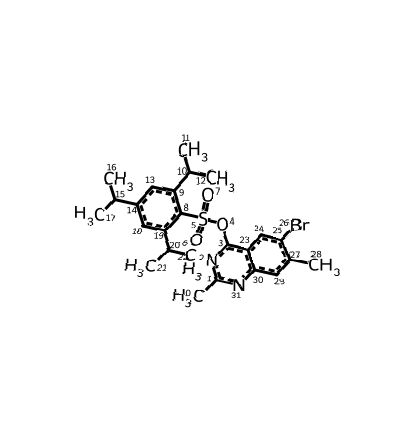 Cc1nc(OS(=O)(=O)c2c(C(C)C)cc(C(C)C)cc2C(C)C)c2cc(Br)c(C)cc2n1